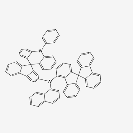 c1ccc(N2c3ccccc3C3(c4ccccc4-c4ccc(N(c5cccc6c5-c5ccccc5C65c6ccccc6-c6ccccc65)c5cccc6ccccc56)cc43)c3ccccc32)cc1